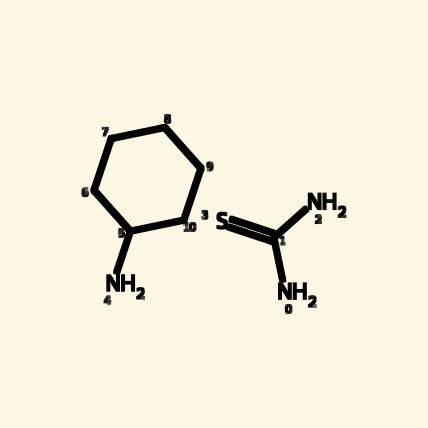 NC(N)=S.NC1CCCCC1